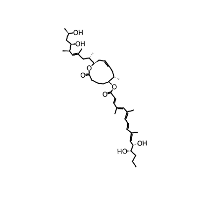 CCC[C@H](O)[C@@H](O)/C=C(C)/C=C/C=C(C)C=C(C)/C=C/C(=O)O[C@H]1CCCC(=O)O[C@@H]([C@@H](C)C/C(C)=C/[C@@H](C)[C@H](O)C[C@@H](C)O)C/C=C/C[C@@H]1C